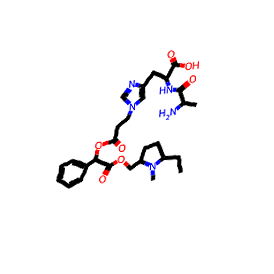 CCC1CCC(COC(=O)C(OC(=O)CCn2cnc(CC(NC(=O)C(C)N)C(=O)O)c2)c2ccccc2)N1C